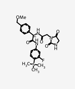 COCc1ccc([C@@H](NC(=O)CN2C(=O)CNC2=O)C(=O)Nc2ccc(S(C)(C)C)c(F)c2)cc1